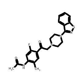 CC(=O)Nc1cc(F)c(C(=O)CN2CCN(c3nsc4ccccc34)CC2)cc1C